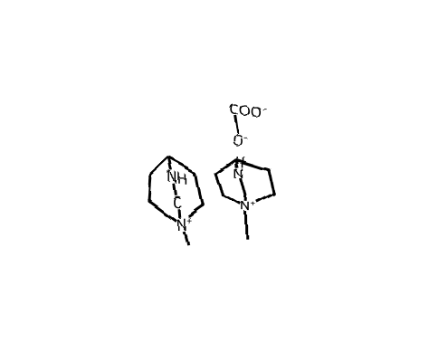 C[N+]12CCC(CC1)NC2.C[N+]12CCC(CC1)NC2.O=C([O-])[O-]